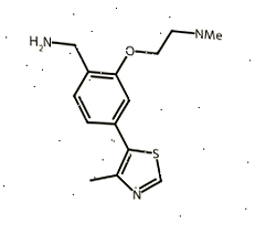 CNCCOc1cc(-c2scnc2C)ccc1CN